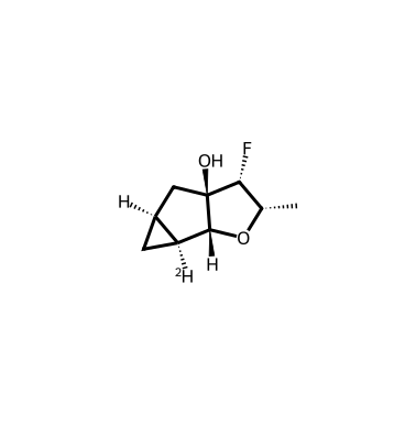 [2H][C@]12C[C@H]1C[C@]1(O)[C@H](F)[C@H](C)O[C@H]21